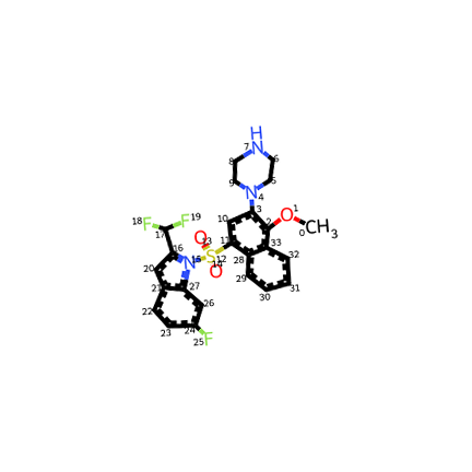 COc1c(N2CCNCC2)cc(S(=O)(=O)n2c(C(F)F)cc3ccc(F)cc32)c2ccccc12